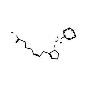 COC(=O)CCC/C=C\CC1=CCC[C@@H]1NS(=O)(=O)c1ccccc1